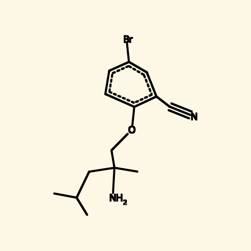 CC(C)CC(C)(N)COc1ccc(Br)cc1C#N